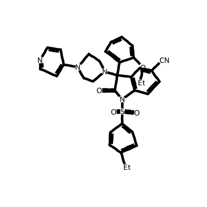 CCOc1ccccc1C1(N2CCN(c3ccncc3)CC2)C(=O)N(S(=O)(=O)c2ccc(CC)cc2)c2ccc(C#N)cc21